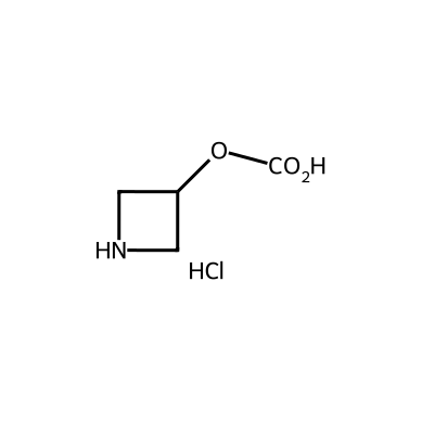 Cl.O=C(O)OC1CNC1